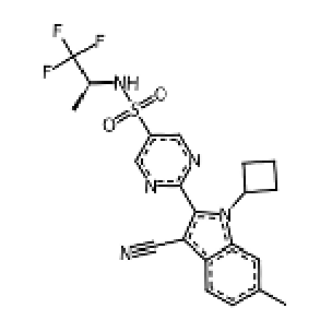 Cc1ccc2c(C#N)c(-c3ncc(S(=O)(=O)N[C@@H](C)C(F)(F)F)cn3)n(C3CCC3)c2c1